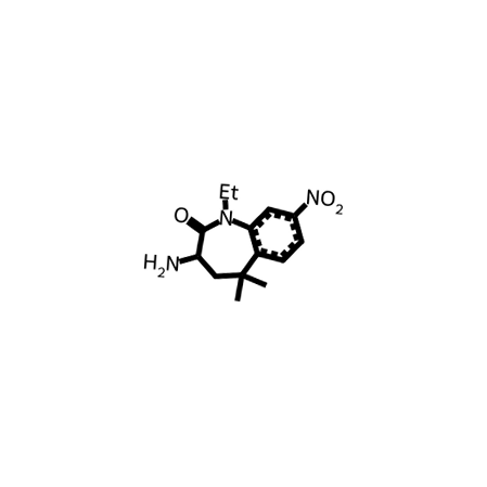 CCN1C(=O)C(N)CC(C)(C)c2ccc([N+](=O)[O-])cc21